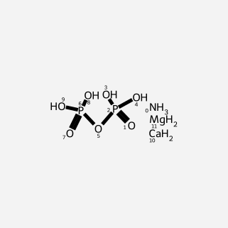 N.O=P(O)(O)OP(=O)(O)O.[CaH2].[MgH2]